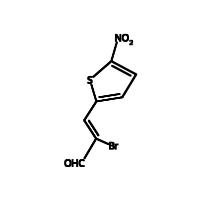 O=C/C(Br)=C/c1ccc([N+](=O)[O-])s1